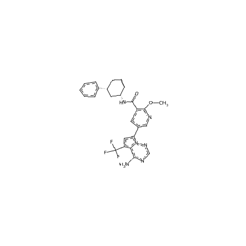 COc1ncc(-c2cc(C(F)(F)F)c3c(N)ncnn23)cc1C(=O)N[C@H]1CCC[C@@H](c2ccccc2)C1